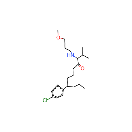 CCCC(CCCC(=O)C(NCCCOC)C(C)C)c1ccc(Cl)cc1